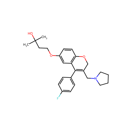 CC(C)(O)CCOc1ccc2c(c1)C(c1ccc(F)cc1)=C(CN1CCCC1)CO2